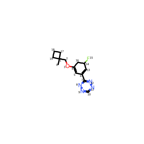 CC1(COC2=CC(c3nncnn3)=CC(F)C2)CCC1